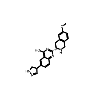 COc1ccc2c(c1)C[C@@H](c1nc(O)c3cc(C4C=NNC4)ccc3n1)NC2